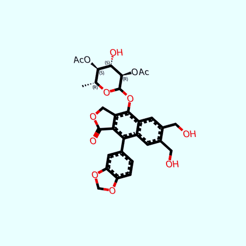 CC(=O)O[C@H]1[C@H](O)[C@@H](OC(C)=O)C(Oc2c3c(c(-c4ccc5c(c4)OCO5)c4cc(CO)c(CO)cc24)C(=O)OC3)O[C@@H]1C